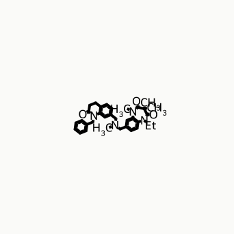 CCN1C(=O)C(C)(C)C(=O)N(C)c2cc(CN(C)Cc3ccc4c(c3)N(Cc3ccccc3)C(=O)CC4)ccc21